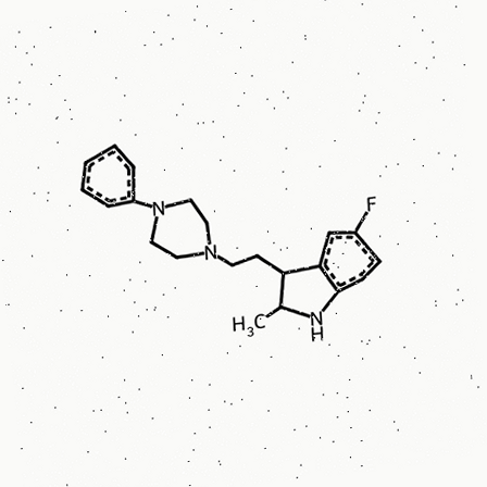 CC1Nc2ccc(F)cc2C1CCN1CCN(c2ccccc2)CC1